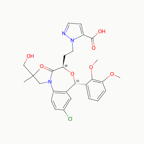 COc1cccc([C@H]2O[C@H](CCn3nccc3C(=O)O)C(=O)N(CC(C)(C)CO)c3ccc(Cl)cc32)c1OC